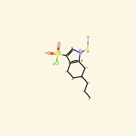 CCCC1CCc2c(S(=O)(=O)Cl)cn(SI)c2C1